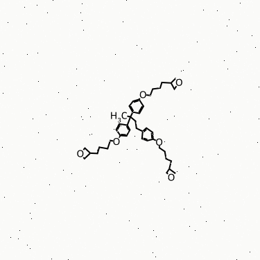 CC(CCc1ccc(OCCCCC2COC2)cc1)(c1ccc(OCCCCC2COC2)cc1)c1ccc(OCCCCC2COC2)cc1